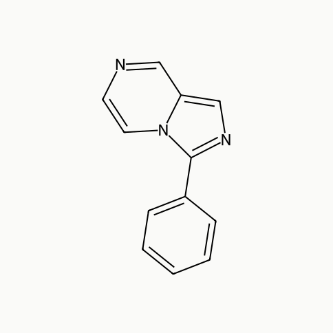 c1ccc(-c2ncc3cnccn23)cc1